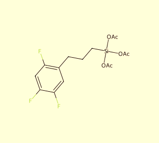 CC(=O)O[Si](CCCc1cc(F)c(F)cc1F)(OC(C)=O)OC(C)=O